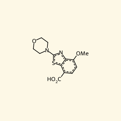 COc1ccc(C(=O)O)c2sc(N3CCOCC3)nc12